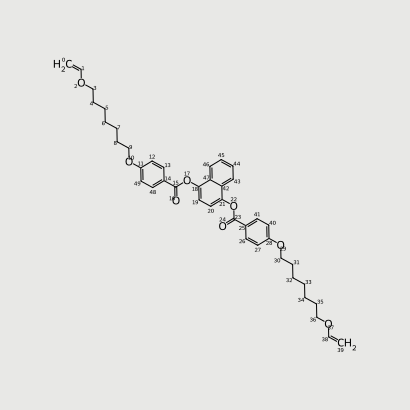 C=COCCCCCCCOc1ccc(C(=O)Oc2ccc(OC(=O)c3ccc(OCCCCCCCOC=C)cc3)c3ccccc23)cc1